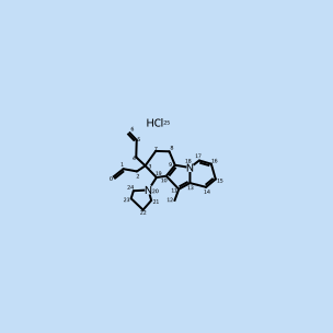 C=CCC1(CC=C)CCc2c(c(C)c3ccccn23)C1N1CCCC1.Cl